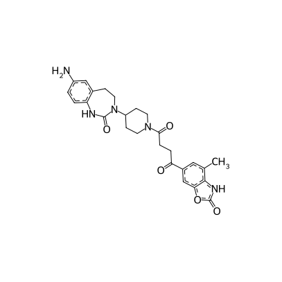 Cc1cc(C(=O)CCC(=O)N2CCC(N3CCc4cc(N)ccc4NC3=O)CC2)cc2oc(=O)[nH]c12